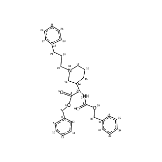 O=C(NN(C(=O)OCc1ccccc1)C1CCCN(CCCc2ccccc2)C1)OCc1ccccc1